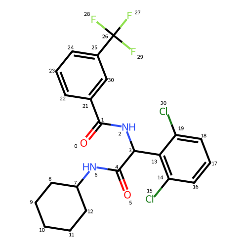 O=C(NC(C(=O)NC1CCCCC1)c1c(Cl)cccc1Cl)c1cccc(C(F)(F)F)c1